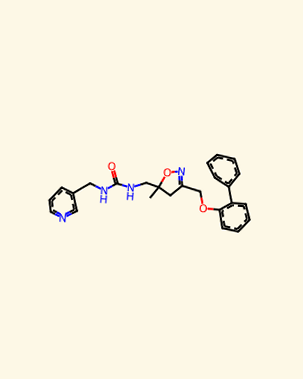 CC1(CNC(=O)NCc2cccnc2)CC(COc2ccccc2-c2ccccc2)=NO1